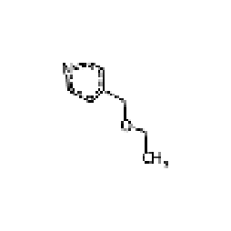 CCOCc1ccncc1